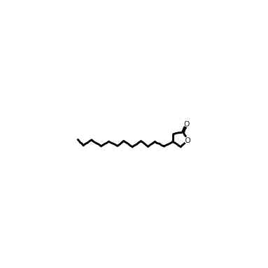 CCCCCCCCCCCCC1COC(=O)C1